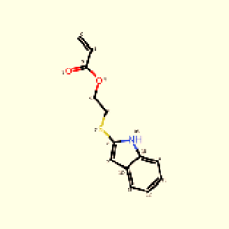 C=CC(=O)OCCSc1cc2ccccc2[nH]1